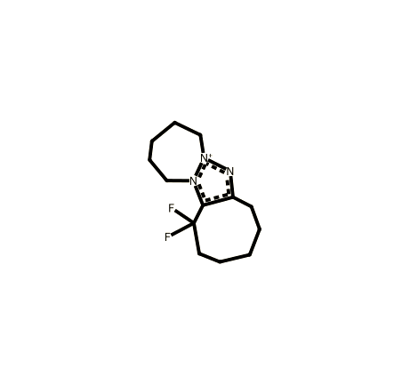 FC1(F)CCCCCc2n[n+]3n(c21)CCCCC3